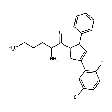 CCCCC(N)C(=O)N1CC(c2cc(Cl)ccc2F)=CC1c1ccccc1